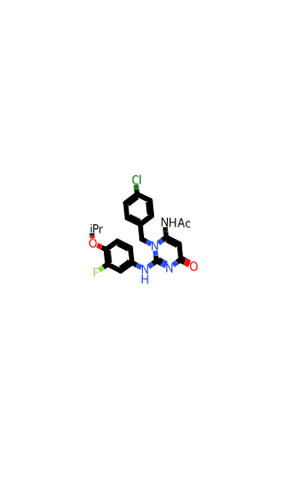 CC(=O)Nc1cc(=O)nc(Nc2ccc(OC(C)C)c(F)c2)n1Cc1ccc(Cl)cc1